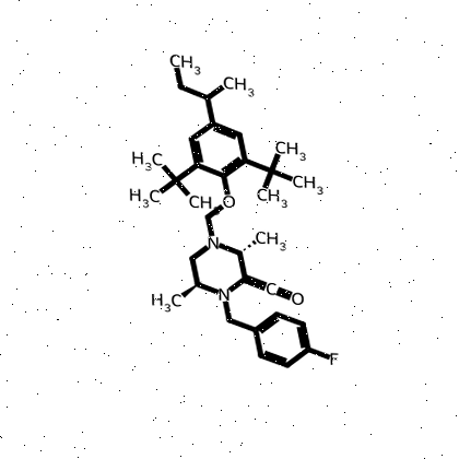 CCC(C)c1cc(C(C)(C)C)c(OCN2C[C@H](C)N(Cc3ccc(F)cc3)C(=C=O)[C@H]2C)c(C(C)(C)C)c1